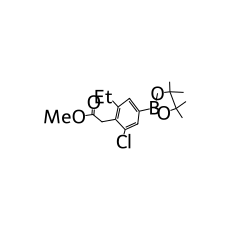 CCc1cc(B2OC(C)(C)C(C)(C)O2)cc(Cl)c1CC(=O)OC